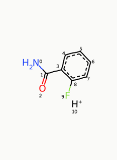 NC(=O)c1ccccc1F.[H+]